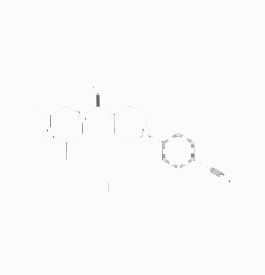 CC1CN(C(=O)C2CCN(c3ccc(C#N)cc3)CC2)CC(C)N1.Cl